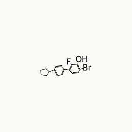 Oc1c(Br)ccc(-c2ccc(C3CCCC3)cc2)c1F